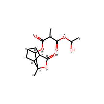 CC(O)OC(=O)C(C)C(=O)OC1C2CC3C(=O)OC1(C)C3C2